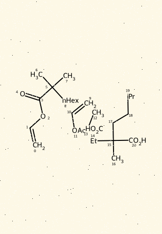 C=COC(=O)C(C)(C)CCCCCC.C=COC(C)=O.CC(=O)O.CCC(C)(CCC(C)C)C(=O)O